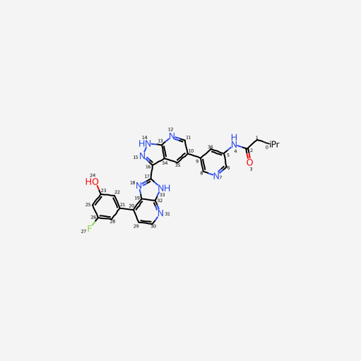 CC(C)CC(=O)Nc1cncc(-c2cnc3[nH]nc(-c4nc5c(-c6cc(O)cc(F)c6)ccnc5[nH]4)c3c2)c1